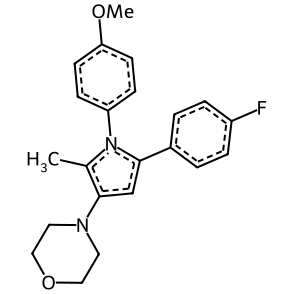 COc1ccc(-n2c(-c3ccc(F)cc3)cc(N3CCOCC3)c2C)cc1